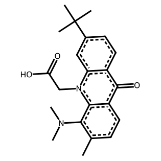 Cc1ccc2c(=O)c3ccc(C(C)(C)C)cc3n(CC(=O)O)c2c1N(C)C